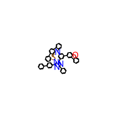 c1ccc(-c2ccc(-c3nc(-c4ccccc4)nc(-c4cc(-c5ccc6oc7ccccc7c6c5)cc(-n5c6ccccc6c6ccc7c8ccccc8sc7c65)c4)n3)cc2)cc1